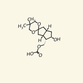 CC1(C)COC2(C[C@@H]3C[C@@H](O)[C@H](COC(=O)O)[C@@H]3C2)OC1